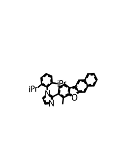 Cc1c(-c2nccn2-c2c(C(C)C)cccc2C(C)C)ccc2c1oc1cc3ccccc3cc12